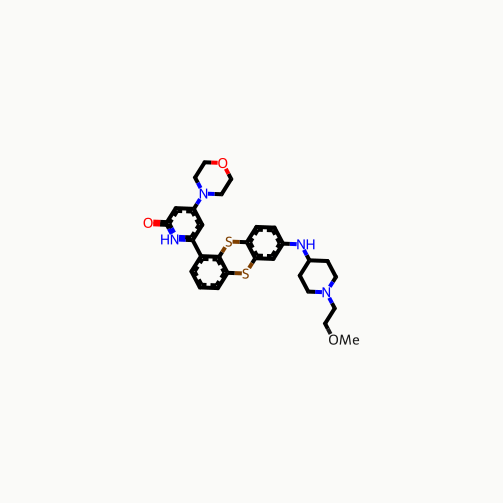 COCCN1CCC(Nc2ccc3c(c2)Sc2cccc(-c4cc(N5CCOCC5)cc(=O)[nH]4)c2S3)CC1